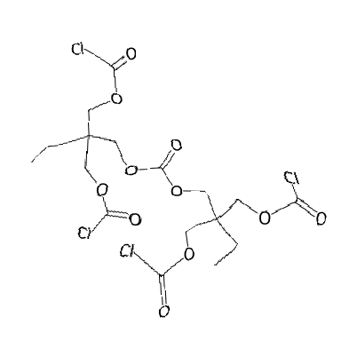 CCC(COC(=O)Cl)(COC(=O)Cl)COC(=O)OCC(CC)(COC(=O)Cl)COC(=O)Cl